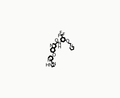 O=C(Nc1cc(OCCN2CCCC2)cc(C(F)(F)F)c1)c1cnc2ccc(Oc3ccnc(-c4ncc[nH]4)c3)cc2c1